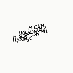 CCCc1nc2c(N)nc(C)c(C)c2n1CCCCN(NO)C(=O)OC(C)(C)C